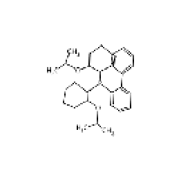 CC(C)OC1CCCCC1P(c1ccccc1-c1ccccc1)C1CCCCC1OC(C)C